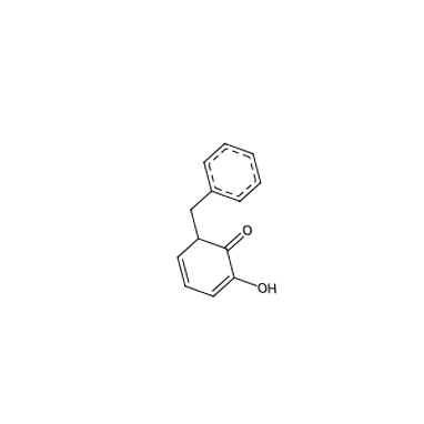 O=C1C(O)=CC=CC1Cc1ccccc1